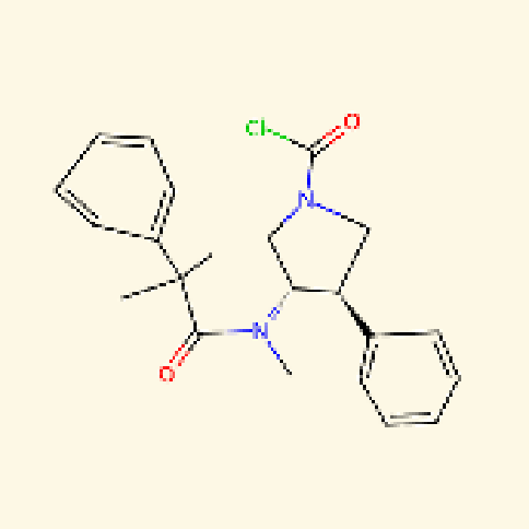 CN(C(=O)C(C)(C)c1ccccc1)[C@@H]1CN(C(=O)Cl)C[C@H]1c1ccccc1